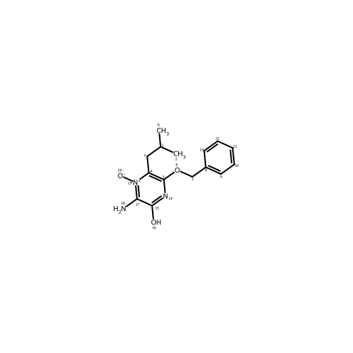 CC(C)Cc1c(OCc2ccccc2)nc(O)c(N)[n+]1[O-]